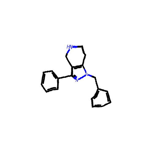 c1ccc(Cn2nc(-c3ccccc3)c3c2CCNC3)cc1